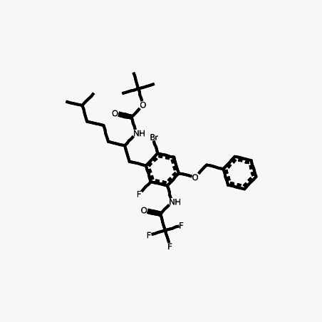 CC(C)CCCC(Cc1c(Br)cc(OCc2ccccc2)c(NC(=O)C(F)(F)F)c1F)NC(=O)OC(C)(C)C